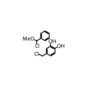 COC(Cl)c1ccccc1.Oc1ccc(CCl)cc1O